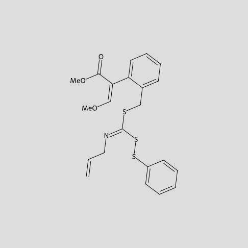 C=CCN=C(SCc1ccccc1C(=COC)C(=O)OC)SSc1ccccc1